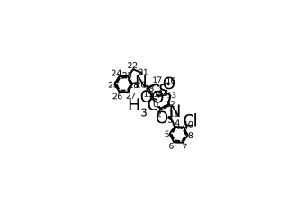 Cc1oc(-c2ccccc2Cl)nc1CS(=O)(=O)CC(=O)N1CCc2ccccc21